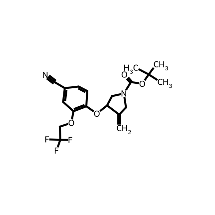 C=C1CN(C(=O)OC(C)(C)C)CC1Oc1ccc(C#N)cc1OCC(F)(F)F